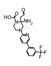 NC1(CC=O)CN(c2ccc(-c3cccc(C(F)(F)F)c3)cn2)CCN1C(=O)O